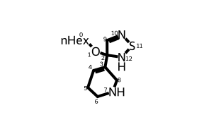 CCCCCCOC1(C2=CCCNC2)C=NSN1